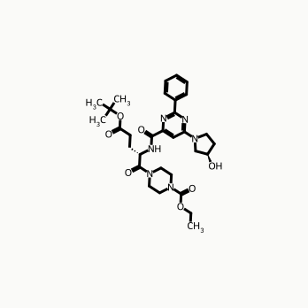 CCOC(=O)N1CCN(C(=O)[C@H](CCC(=O)OC(C)(C)C)NC(=O)c2cc(N3CC[C@@H](O)C3)nc(-c3ccccc3)n2)CC1